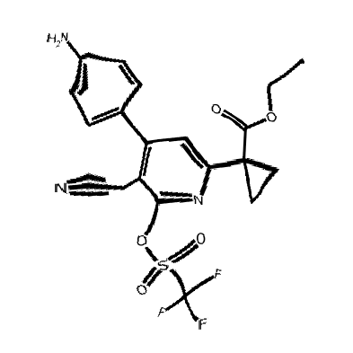 CCOC(=O)C1(c2cc(-c3ccc(N)cc3)c(C#N)c(OS(=O)(=O)C(F)(F)F)n2)CC1